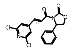 O=C(/C=C/c1cc(Cl)nc(Cl)c1)N1C(=O)OCC1c1ccccc1